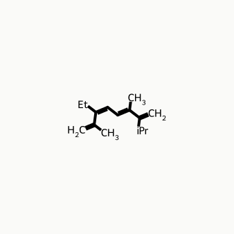 C=C(C)C(=CC=C(C)C(=C)C(C)C)CC